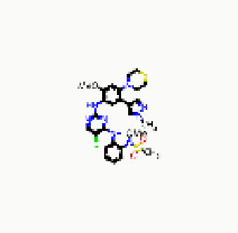 COc1cc(N2CCSCC2)c(-c2cnn(C)c2)cc1Nc1ncc(Cl)c(Nc2ccccc2N(OC)S(C)(=O)=O)n1